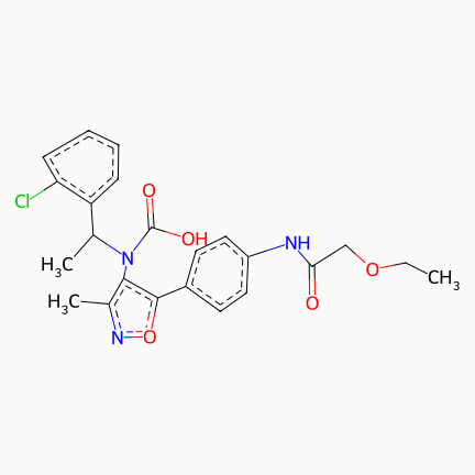 CCOCC(=O)Nc1ccc(-c2onc(C)c2N(C(=O)O)C(C)c2ccccc2Cl)cc1